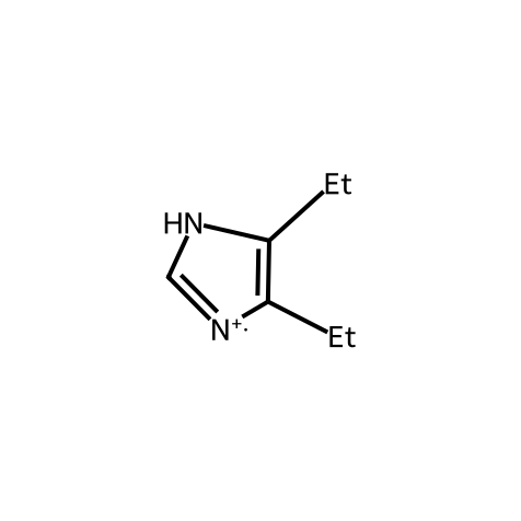 CCC1=C(CC)NC=[N+]1